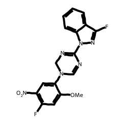 COc1cc(F)c([N+](=O)[O-])cc1N1C=NC(n2nc(F)c3ccccc32)=NC1